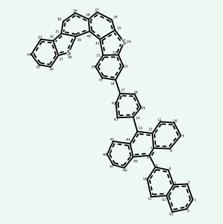 c1ccc2cc(-c3c4ccccc4c(-c4ccc(-c5ccc6c(c5)sc5ccc7ccc8c9ccccc9sc8c7c56)cc4)c4ccccc34)ccc2c1